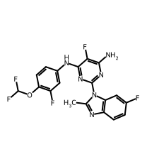 Cc1nc2ccc(F)cc2n1-c1nc(N)c(F)c(Nc2ccc(OC(F)F)c(F)c2)n1